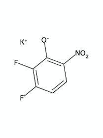 O=[N+]([O-])c1ccc(F)c(F)c1[O-].[K+]